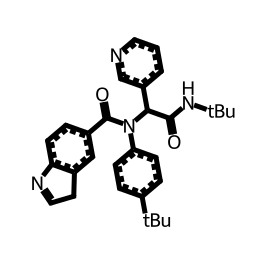 CC(C)(C)NC(=O)C(c1cccnc1)N(C(=O)c1ccc2c(c1)CC=N2)c1ccc(C(C)(C)C)cc1